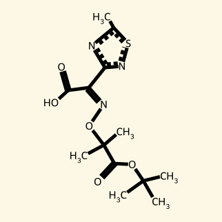 Cc1nc(/C(=N/OC(C)(C)C(=O)OC(C)(C)C)C(=O)O)ns1